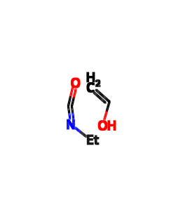 C=CO.CCN=C=O